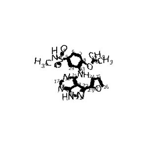 CNS(=O)(=O)c1ccc(OC(C)C)c(Nc2ncnc3[nH]nc(-c4ccco4)c23)c1